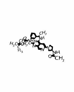 CC(=O)N[C@@H]1CCN(c2cc3c(N[C@H](C)c4cccc(NC(=O)OC(C)(C)C)c4)nc(C)nc3cn2)C1